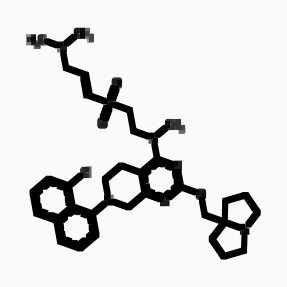 CN(C)C/C=C/S(=O)(=O)CCN(C)c1nc(OCC23CCCN2CCC3)nc2c1CCN(c1cccc3cccc(Cl)c13)C2